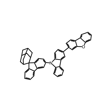 c1ccc2c(c1)-c1cc(-n3c4ccccc4c4cc(-c5ccc6c(c5)oc5ccccc56)ccc43)ccc1C21C2CC3CC(C2)CC1C3